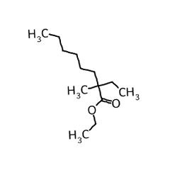 CCCCCCC(C)(CC)C(=O)OCC